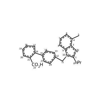 CCCc1nc2c(C)cccc2n1Cc1ccc(-c2ccccc2C(=O)O)cc1